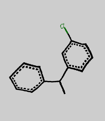 CC(c1ccccc1)c1cccc(Cl)c1